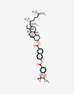 CC(C)CCC[C@@H](C)[C@H]1CC[C@H]2[C@@H]3CC=C4C[C@@H](OC(=O)c5ccc6cc(OC(=O)c7ccc(OC(C)C8(C)CO8)cc7F)ccc6c5)CC[C@]4(C)[C@H]3CC[C@]12C